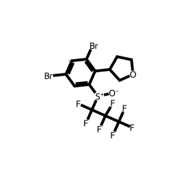 [O-][S+](c1cc(Br)[c]c(Br)c1C1CCOC1)C(F)(F)C(F)(F)C(F)(F)F